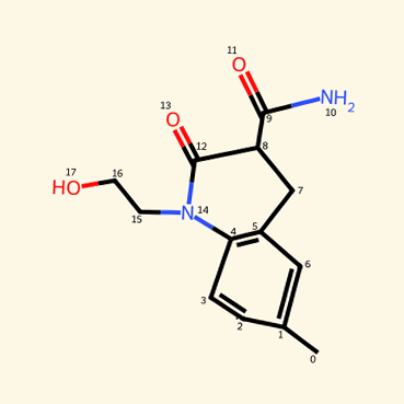 Cc1[c]cc2c(c1)CC(C(N)=O)C(=O)N2CCO